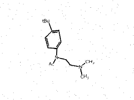 CC(=O)N(CCN(C)C)c1ccc(C(C)(C)C)cc1